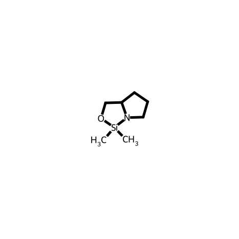 C[Si]1(C)OCC2CCCN21